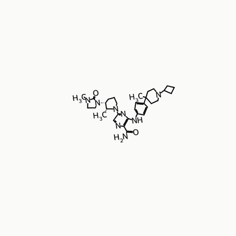 C[C@@H]1[C@H](N2CCN(C)C2=O)CCCN1c1cnc(C(N)=O)c(Nc2ccc(C3(C)CCN(C4CCC4)CC3)cc2)n1